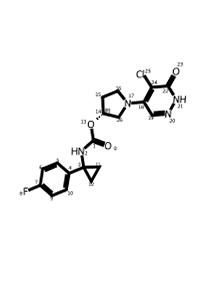 O=C(NC1(c2ccc(F)cc2)CC1)O[C@@H]1CCN(c2cn[nH]c(=O)c2Cl)C1